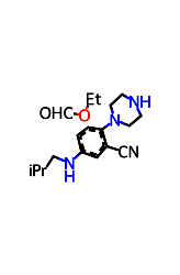 CC(C)CNc1ccc(N2CCNCC2)c(C#N)c1.CCOC=O